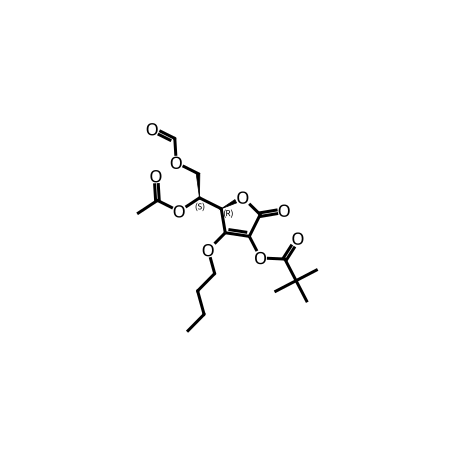 CCCCOC1=C(OC(=O)C(C)(C)C)C(=O)O[C@@H]1[C@H](COC=O)OC(C)=O